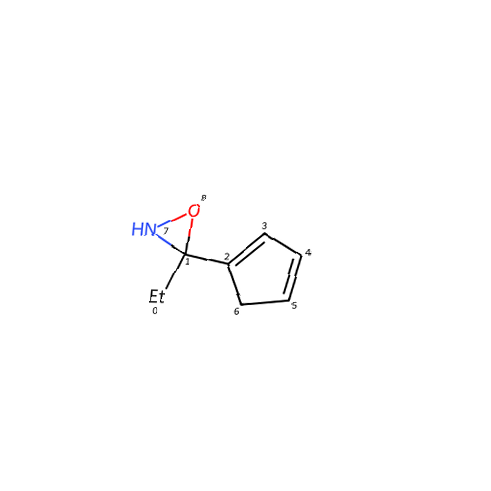 CCC1(C2=CC=CC2)NO1